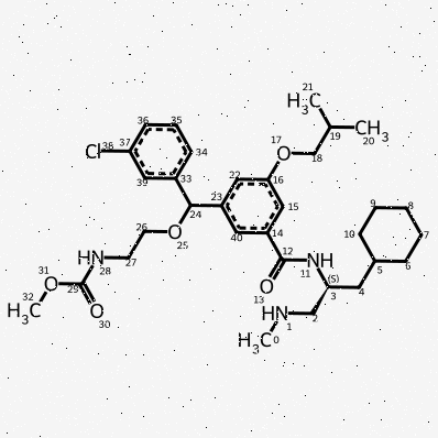 CNC[C@H](CC1CCCCC1)NC(=O)c1cc(OCC(C)C)cc(C(OCCNC(=O)OC)c2cccc(Cl)c2)c1